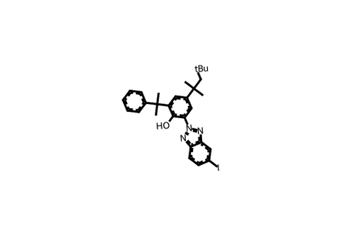 CC(C)(C)CC(C)(C)c1cc(-n2nc3ccc(I)cc3n2)c(O)c(C(C)(C)c2ccccc2)c1